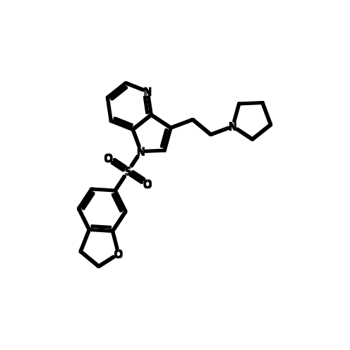 O=S(=O)(c1ccc2c(c1)OCC2)n1cc(CCN2CCCC2)c2ncccc21